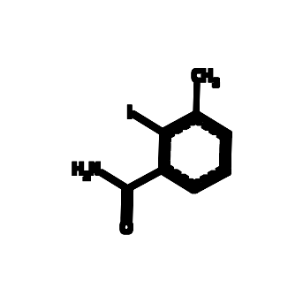 Cc1cccc(C(N)=O)c1I